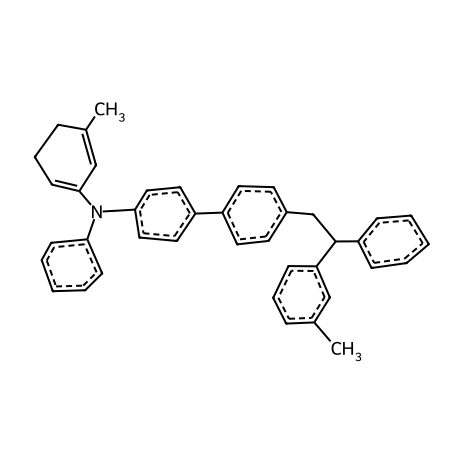 CC1=CC(N(c2ccccc2)c2ccc(-c3ccc(CC(c4ccccc4)c4cccc(C)c4)cc3)cc2)=CCC1